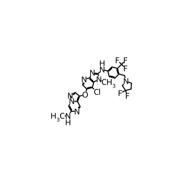 CNc1cn2ncc(Oc3cnc4nc(Nc5ccc(CN6CCC(F)(F)C6)c(C(F)(F)F)c5)n(C)c4c3Cl)c2cn1